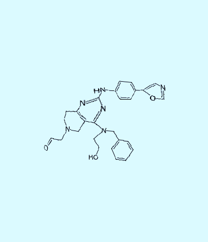 O=CCN1CCc2nc(Nc3ccc(-c4cnco4)cc3)nc(N(CCO)Cc3ccccc3)c2C1